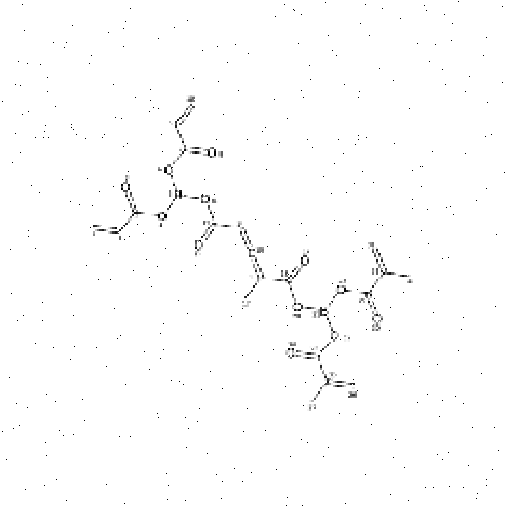 C=CC(=O)OB(OC(=O)C=C)OC(=O)C=C=C(C)C(=O)OB(OC(=O)C(=C)C)OC(=O)C(=C)C